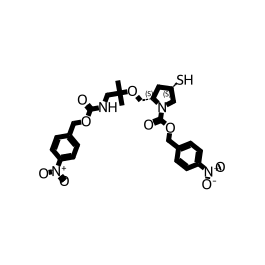 CC(C)(CNC(=O)OCc1ccc([N+](=O)[O-])cc1)OC[C@@H]1C[C@H](S)CN1C(=O)OCc1ccc([N+](=O)[O-])cc1